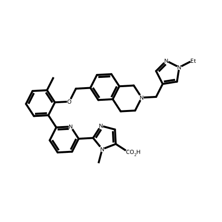 CCn1cc(CN2CCc3cc(COc4c(C)cccc4-c4cccc(-c5ncc(C(=O)O)n5C)n4)ccc3C2)cn1